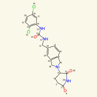 O=C1CCC(N2Cc3ccc(CNC(=O)Nc4cc(Cl)ccc4Cl)cc3C2)C(=O)N1